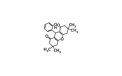 CC1(C)CC(=O)C2=C(C1)OC1=C(C(=O)CC(C)(C)C1)C2c1ccccc1O